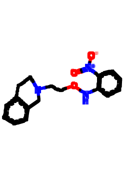 O=[N+]([O-])c1ccccc1NOCCN1CCc2ccccc2C1